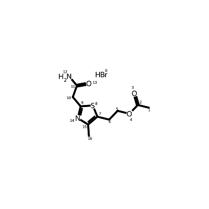 Br.CC(=O)OCCc1sc(CC(N)=O)nc1C